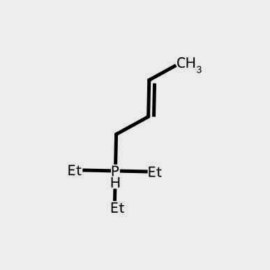 CC=CC[PH](CC)(CC)CC